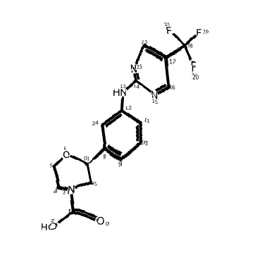 O=C(O)N1CCO[C@@H](c2cccc(Nc3ncc(C(F)(F)F)cn3)c2)C1